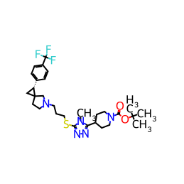 Cn1c(SCCCN2CCC3(C[C@@H]3c3ccc(C(F)(F)F)cc3)C2)nnc1C1CCN(C(=O)OC(C)(C)C)CC1